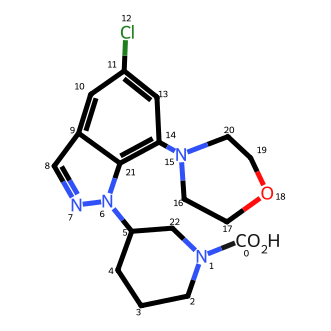 O=C(O)N1CCCC(n2ncc3cc(Cl)cc(N4CCOCC4)c32)C1